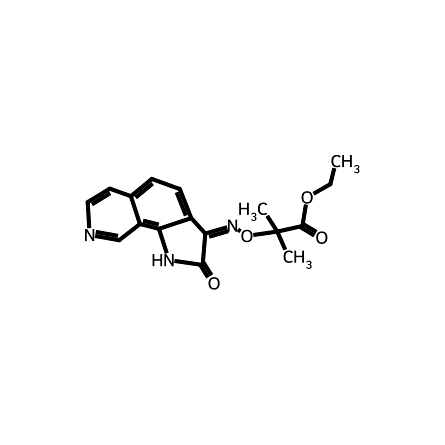 CCOC(=O)C(C)(C)ON=C1C(=O)Nc2c1ccc1ccncc21